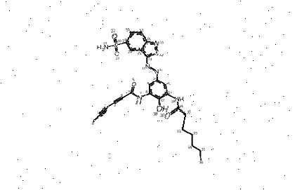 CC#CC#CC(=O)Nc1cc(/N=N/c2snc3ccc(S(N)(=O)=O)cc23)cc(NC(=O)CCCCCC)c1O